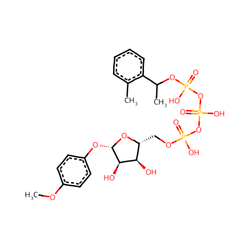 COc1ccc(O[C@@H]2O[C@H](COP(=O)(O)OP(=O)(O)OP(=O)(O)OC(C)c3ccccc3C)[C@@H](O)[C@H]2O)cc1